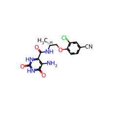 C[C@H](COc1ccc(C#N)cc1Cl)NC(=O)c1[nH]c(=O)[nH]c(=O)c1N